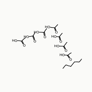 CC(=O)O.CC(=O)O.CC(=O)O.CC(=O)O.CC(=O)O.CC(=O)O.CC(=O)O.CCCCCC